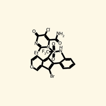 CCc1nc(=O)c(Cl)c(C(N)=O)n1Cc1c2ccocc-2c(Br)c1-c1ccccc1NS(=O)(=O)C(F)(F)F